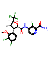 COc1c([C@@H]2[C@@H](C)[C@@](C)(C(F)(F)F)O[C@H]2C(=O)Nc2ccnc(C(N)=O)c2F)ccc(F)c1F